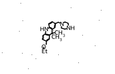 CCOCc1ccc2c(c1)C(C)(C)c1cc(CN3CCNCC3)ccc1N2